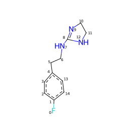 Fc1ccc(CCNC2=NCCN2)cc1